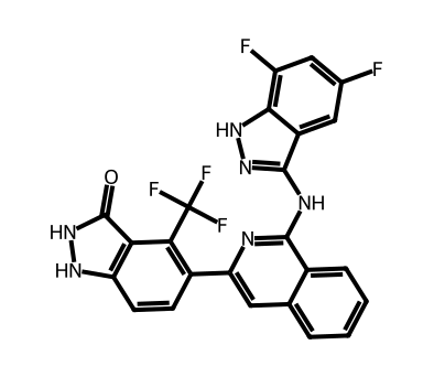 O=c1[nH][nH]c2ccc(-c3cc4ccccc4c(Nc4n[nH]c5c(F)cc(F)cc45)n3)c(C(F)(F)F)c12